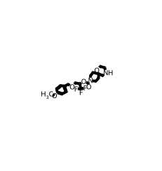 COc1ccc(COCC(OC(=O)N2CCC3(CC2)CNCCO3)C(F)(F)F)cc1